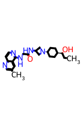 CCC(O)[C@H]1CC[C@H](N2CC(NC(=O)CNc3nccc4ncc(C)cc34)C2)CC1